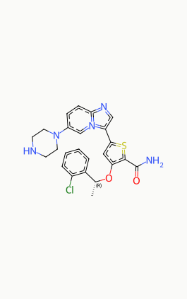 C[C@@H](Oc1cc(-c2cnc3ccc(N4CCNCC4)cn23)sc1C(N)=O)c1ccccc1Cl